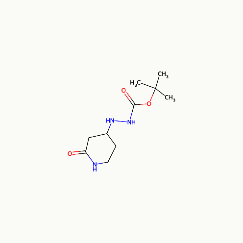 CC(C)(C)OC(=O)NNC1CCNC(=O)C1